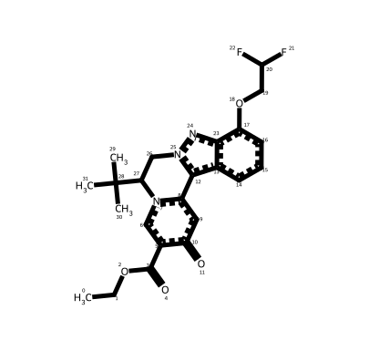 CCOC(=O)c1cn2c(cc1=O)-c1c3cccc(OCC(F)F)c3nn1CC2C(C)(C)C